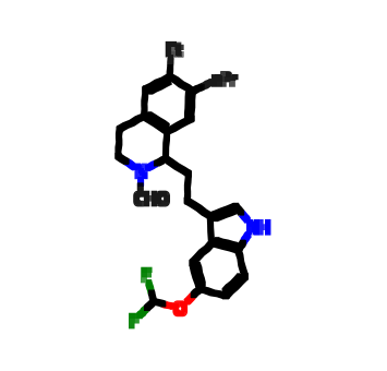 CCCc1cc2c(cc1CC)CCN(C=O)C2CCc1c[nH]c2ccc(OC(F)F)cc12